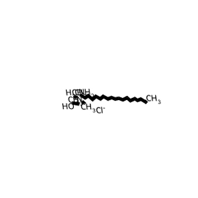 CCCCCCCCCCCCCCCCCCC(C)(N)[N+](CC)(CC)CC(C)O.[Cl-]